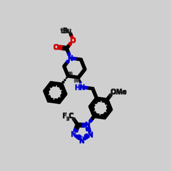 COc1ccc(-n2nnnc2C(F)(F)F)cc1CN[C@H]1CCN(C(=O)OC(C)(C)C)C[C@H]1c1ccccc1